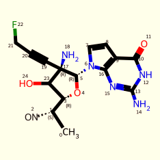 C[C@H](N=O)[C@H]1O[C@@H](n2ccc3c(=O)[nH]c(N)nc32)[C@@](N)(C#CCF)C1O